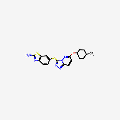 Nc1nc2ccc(Sc3nnc4ccc(OC5CCC(C(F)(F)F)CC5)nn34)cc2s1